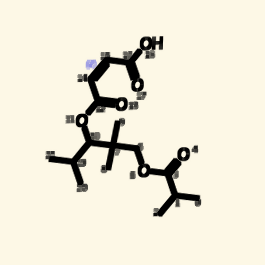 CC(C)C(=O)OCC(C)(C)C(OC(=O)/C=C\C(=O)O)C(C)C